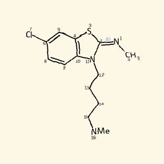 C/N=c1/sc2cc(Cl)ccc2n1CCCCNC